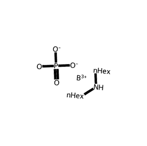 CCCCCCNCCCCCC.O=P([O-])([O-])[O-].[B+3]